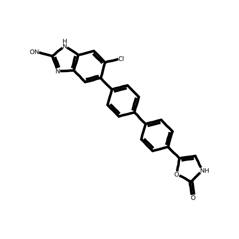 O=Nc1nc2cc(-c3ccc(-c4ccc(-c5c[nH]c(=O)o5)cc4)cc3)c(Cl)cc2[nH]1